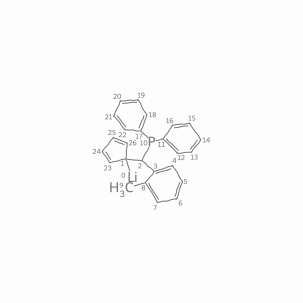 [Li][C]1(C(c2ccccc2C)P(c2ccccc2)c2ccccc2)C=CC=C1